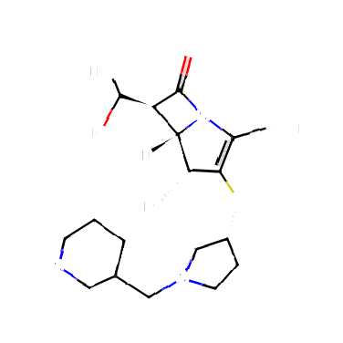 CC(O)[C@H]1C(=O)N2C(C(=O)O)=C(S[C@@H]3CCN(CC4CCCNC4)C3)[C@H](C)[C@H]12